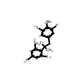 CC(C)(C)c1c(F)cc(CC(C)(C)c2c(F)cc(F)cc2F)cc1F